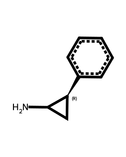 NC1C[C@@H]1c1ccccc1